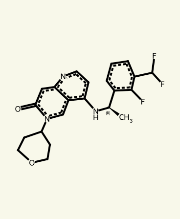 C[C@@H](Nc1ccnc2cc(=O)n(C3CCOCC3)cc12)c1cccc(C(F)F)c1F